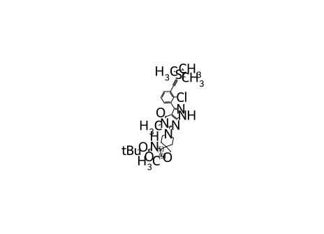 C[C@@H]1OCC2(CCN(c3nc4[nH]nc(-c5cccc(C#C[Si](C)(C)C)c5Cl)c4c(=O)n3C)CC2)[C@@H]1NC(=O)OC(C)(C)C